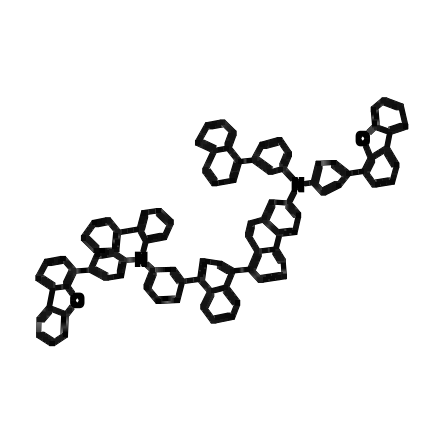 c1ccc(-c2ccccc2N(c2ccc(-c3cccc4c3oc3ccccc34)cc2)c2cccc(-c3ccc(-c4cccc5c4ccc4cc(N(c6ccc(-c7cccc8c7oc7ccccc78)cc6)c6cccc(-c7cccc8ccccc78)c6)ccc45)c4ccccc34)c2)cc1